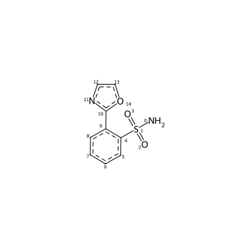 NS(=O)(=O)c1ccccc1-c1ncco1